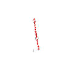 O=C(CCSCSCSCCCOOCCSCSCSCCOC(=O)CCSCSCSCCCOOCCCO)OCCCO